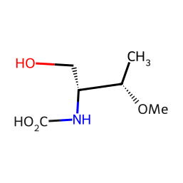 CO[C@@H](C)[C@@H](CO)NC(=O)O